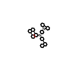 c1ccc(-c2cccc3cccc(-c4cccc(N(c5ccc(-c6cccc7ccccc67)cc5)c5ccc(-n6c7ccccc7c7ccccc76)cc5)c4)c23)cc1